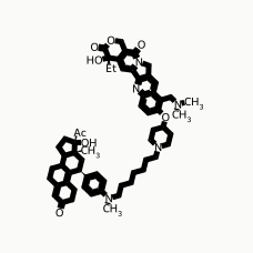 CC[C@@]1(O)C(=O)OCc2c1cc1n(c2=O)Cc2cc3c(CN(C)C)c(OC4CCN(CCCCCCCN(C)c5ccc([C@H]6C[C@@]7(C)C(CC[C@]7(O)C(C)=O)C7CCC8=CC(=O)CCC8=C76)cc5)CC4)ccc3nc2-1